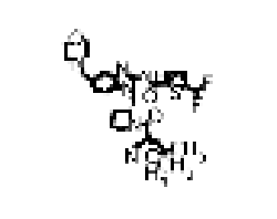 CC(C)(C)C=C(C#N)C(=O)N1CCC[C@@H]1Cn1c(NC(=O)c2ccc(C(F)F)s2)nc2cc(CN3CCOCC3)ccc21